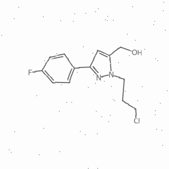 OCc1cc(-c2ccc(F)cc2)nn1CCCCl